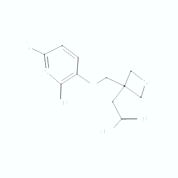 Cc1nc(Br)ccc1OCC1(CC(C)C)CNC1